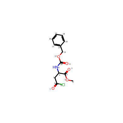 COC(=O)C(CC(=O)Cl)NC(=O)OCc1ccccc1